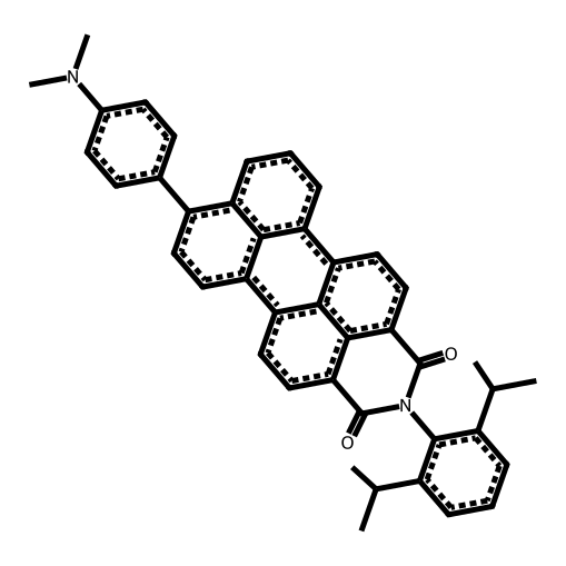 CC(C)c1cccc(C(C)C)c1N1C(=O)c2ccc3c4cccc5c(-c6ccc(N(C)C)cc6)ccc(c6ccc(c2c36)C1=O)c54